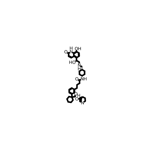 O=C(CCCc1cccc(C2(C(=O)O[C@H]3CN4CCC3CC4)CCCCC2)c1)N[C@H]1CC[C@H](CNCC(O)c2ccc(O)c3[nH]c(=O)ccc23)CC1